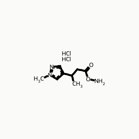 CC(CC(=O)ON)c1cnn(C)c1.Cl.Cl